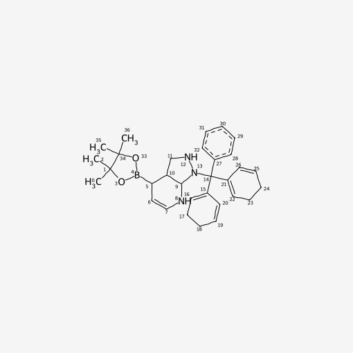 CC1(C)OB(C2C=CNC3C2CNN3C(C2=CCCC=C2)(C2=CCCC=C2)c2ccccc2)OC1(C)C